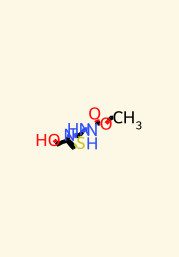 CCOC(=O)NNc1nc(CO)cs1